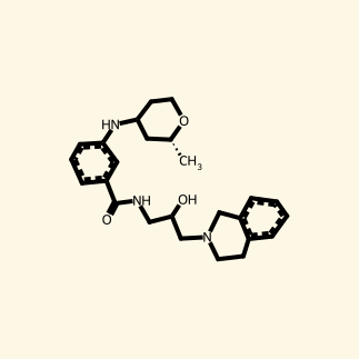 C[C@@H]1CC(Nc2cccc(C(=O)NCC(O)CN3CCc4ccccc4C3)c2)CCO1